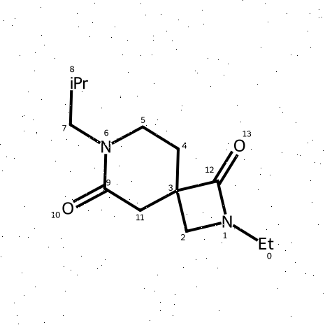 CCN1CC2(CCN(CC(C)C)C(=O)C2)C1=O